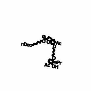 CCCCCCCCCCCCCCCCOC(=O)C1CCc2cc(C(C)=O)c(OCCCCCOc3ccc(C(C)=O)c(O)c3CCC)cc2O1